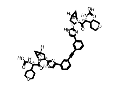 O=C(O)N[C@@H](C(=O)N1C2C[C@@H]2C[C@H]1c1nc(-c2cccc(C#Cc3cccc(-c4c[nH]c([C@@H]5C[C@H]6CC6N5C(=O)[C@H](NC(=O)O)C5CCOCC5)n4)c3)c2)c[nH]1)C1CCOCC1